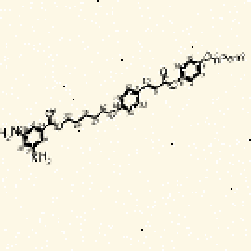 CCCCCOc1ccc(OC(=O)C=Cc2ccc(OCCCCCOC(=O)c3cc(N)cc(N)c3)cc2)cc1